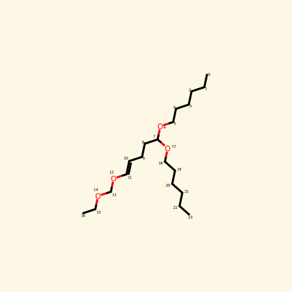 CCCCCCOC(CCC=COCOCC)OCCCCCC